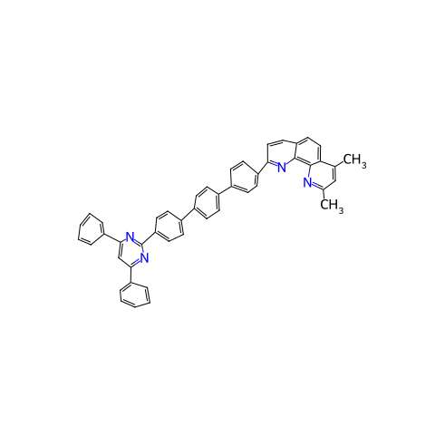 Cc1cc(C)c2ccc3ccc(-c4ccc(-c5ccc(-c6ccc(-c7nc(-c8ccccc8)cc(-c8ccccc8)n7)cc6)cc5)cc4)nc3c2n1